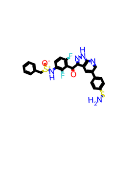 NSc1ccc(-c2cnc3[nH]nc(C(=O)c4c(F)ccc(N[S+]([O-])Cc5ccccc5)c4F)c3c2)cc1